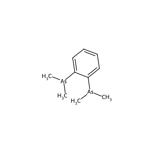 C[As](C)c1ccccc1[As](C)C